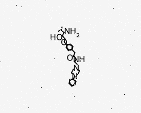 CC(C)C(N)[C@H](O)COc1ccc(CC(=O)NCCN2CCN(c3ccccc3)CC2)cc1